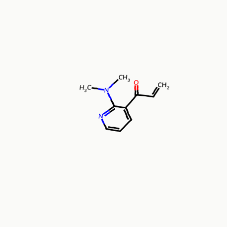 C=CC(=O)c1cccnc1N(C)C